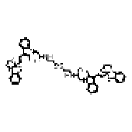 Cc1c(/C=C/C23OCCN2c2ccccc2S3)c2ccccc2n1CC(=O)NCCSSCCNC(=O)Cn1c(C)c(/C=C/C23OCCN2c2ccccc2S3)c2ccccc21